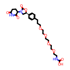 O=C(O)NCCOCCOCCOCCOCCCc1ccc([C@H]2CN(C3CCC(=O)NC3=O)C(=O)O2)cc1